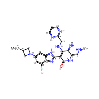 CCN/C=C1/NC(=O)C(c2nc3c(F)cc(N4CC(OC)C4)cc3[nH]2)=C(NCc2ncccn2)C1=N